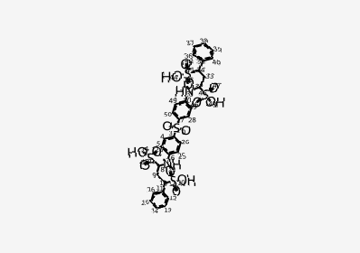 O=S(=O)(c1ccc(NC(CC(c2ccccc2)S(=O)(=O)O)S(=O)(=O)O)cc1)c1ccc(NC(CC(c2ccccc2)S(=O)(=O)O)S(=O)(=O)O)cc1